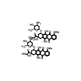 COc1cccc2c1C(=O)c1c(O)c3c(c(O)c1C2=O)C[C@@](O)(C(=O)CO)C[C@@H]3O[C@H]1C[C@H](N)[C@@H](O)[C@H](C)O1.COc1cccc2c1C(=O)c1c(O)c3c(c(O)c1C2=O)C[C@@](O)(C(=O)CO)C[C@@H]3O[C@H]1C[C@H](N)[C@@H](O)[C@H](C)O1